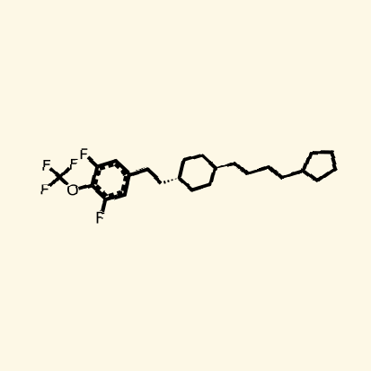 Fc1cc(CC[C@H]2CC[C@H](CCCCC3CCCC3)CC2)cc(F)c1OC(F)(F)F